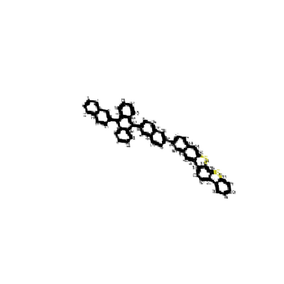 c1ccc2cc(-c3c4ccccc4c(-c4ccc5cc(-c6ccc7cc8sc9c(ccc%10c%11ccccc%11sc%109)c8cc7c6)ccc5c4)c4ccccc34)ccc2c1